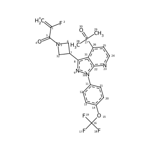 C=C(F)C(=O)N1CC(c2nn(-c3ccc(OC(F)(F)F)cc3)c3nccc(P(C)(C)=O)c23)C1